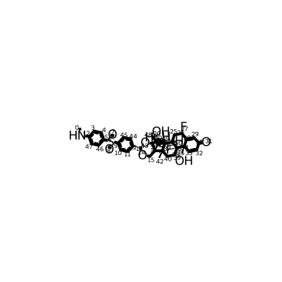 CNc1ccc(S(=O)(=O)c2ccc([C@H]3OC[C@]4(C(=O)CO)[C@@H](C[C@H]5[C@@H]6C[C@H](F)C7=CC(=O)C=C[C@]7(C)[C@@]6(F)[C@@H](O)C[C@@]54C)O3)cc2)cc1